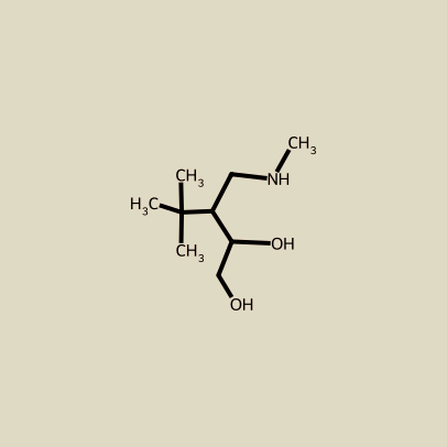 CNCC(C(O)CO)C(C)(C)C